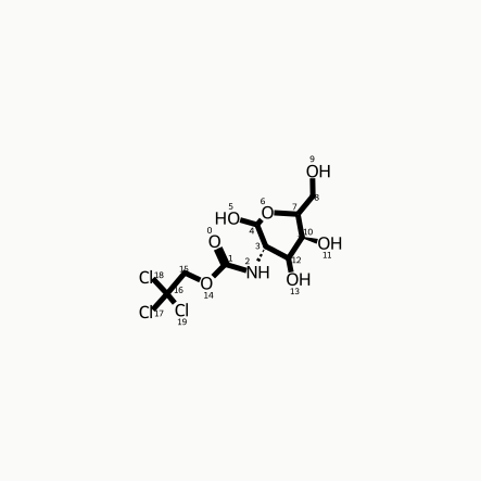 O=C(N[C@@H]1C(O)OC(CO)[C@@H](O)C1O)OCC(Cl)(Cl)Cl